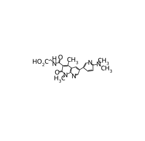 Cc1c(C(=O)NCC(=O)O)c(=O)n(C)c2ncc(-c3ccc(N(C)C)nc3)cc12